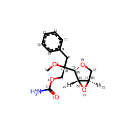 CO[C@](COC(N)=O)(Cc1ccccc1)[C@@H]1OC[C@H]2O[C@H]12